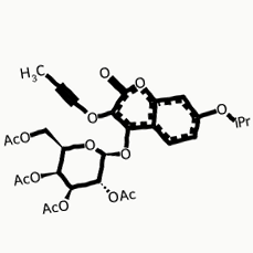 CC#COc1c(O[C@@H]2O[C@H](COC(C)=O)[C@H](OC(C)=O)[C@H](OC(C)=O)[C@H]2OC(C)=O)c2ccc(OC(C)C)cc2oc1=O